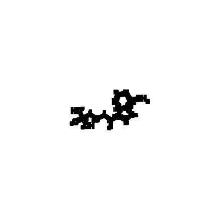 CC(COCP(=O)(O)O)n1cnc2c(N)ncnc21